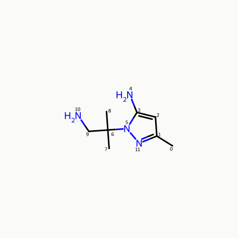 Cc1cc(N)n(C(C)(C)CN)n1